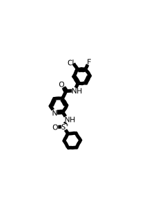 O=C(Nc1ccc(F)c(Cl)c1)c1ccnc(N[S+]([O-])C2CCCCC2)c1